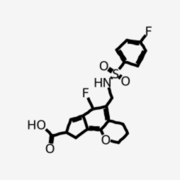 O=C(O)C1C=C2C(=C3OCCCC3=C(CNS(=O)(=O)c3ccc(F)cc3)C2F)C1